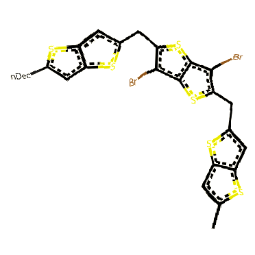 CCCCCCCCCCc1cc2sc(Cc3sc4c(Br)c(Cc5cc6sc(C)cc6s5)sc4c3Br)cc2s1